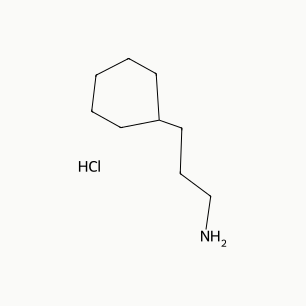 Cl.NCCCC1CCCCC1